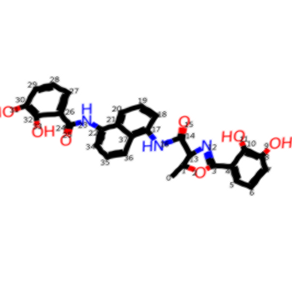 CC1OC(c2cccc(O)c2O)=NC1C(=O)Nc1cccc2c(NC(=O)c3cccc(O)c3O)cccc12